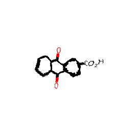 O=C(O)c1ccc2c(c1)C(=O)C1CC=CCC1C2=O